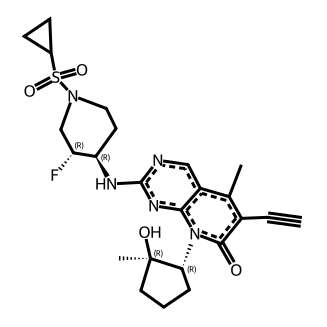 C#Cc1c(C)c2cnc(N[C@@H]3CCN(S(=O)(=O)C4CC4)C[C@H]3F)nc2n([C@@H]2CCC[C@@]2(C)O)c1=O